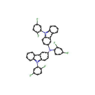 Fc1ccc(N(c2ccc3c(c2)c2ccccc2n3-c2cc(F)ccc2F)c2ccc3c(c2)c2ccccc2n3-c2cc(F)ccc2F)c(F)c1